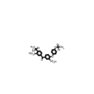 CCC(C)(CC)Oc1ccc(Oc2ccc(C(=O)c3ccc(C(C)(CC)CC)c(S(=O)(=O)O)c3)cc2S(=O)(=O)O)cc1